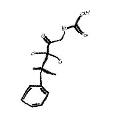 CC(C)(c1ccccc1)C(Cl)(Cl)C(=O)CNC(=O)O